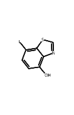 Oc1ccc(I)c2scnc12